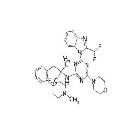 CN1CCC(c2c#cccc2CC(C)(C)Nc2nc(N3CCOCC3)nc(-n3c(C(F)F)nc4ccccc43)n2)CC1